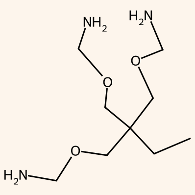 CCC(COCN)(COCN)COCN